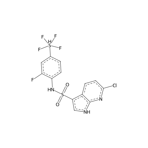 O=S(=O)(Nc1ccc([SH](F)(F)(F)F)cc1F)c1c[nH]c2nc(Cl)ccc12